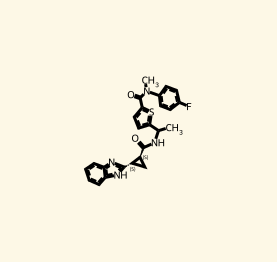 CC(NC(=O)[C@H]1C[C@@H]1c1nc2ccccc2[nH]1)c1ccc(C(=O)N(C)c2ccc(F)cc2)s1